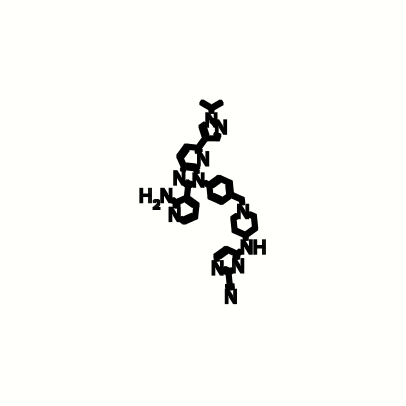 CC(C)n1cc(-c2ccc3nc(-c4cccnc4N)n(-c4ccc(CN5CCC(Nc6ccnc(C#N)n6)CC5)cc4)c3n2)cn1